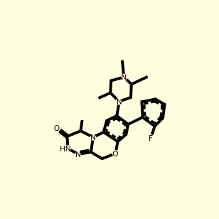 CC1CN(c2cc3c(cc2-c2ccccc2F)OCC2=NNC(=O)C(C)N23)C(C)CN1C